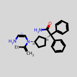 C=C(CC)N(/C=C\N)[C@H]1CC[C@@H](C(C(N)=O)(c2ccccc2)c2ccccc2)C1